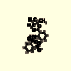 CC(C)(C)OC(=O)c1ccccc1NS(=O)(=O)c1ccccc1[N+](=O)[O-]